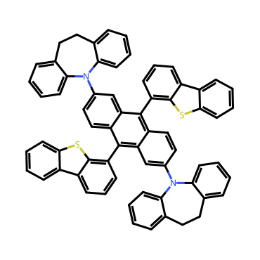 c1ccc2c(c1)CCc1ccccc1N2c1ccc2c(-c3cccc4c3sc3ccccc34)c3cc(N4c5ccccc5CCc5ccccc54)ccc3c(-c3cccc4c3sc3ccccc34)c2c1